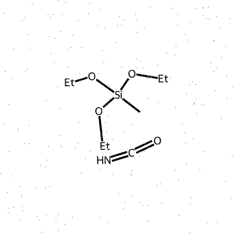 CCO[Si](C)(OCC)OCC.N=C=O